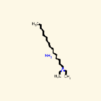 CCCCCCCCCCCCCCCCN(CC)CC.N